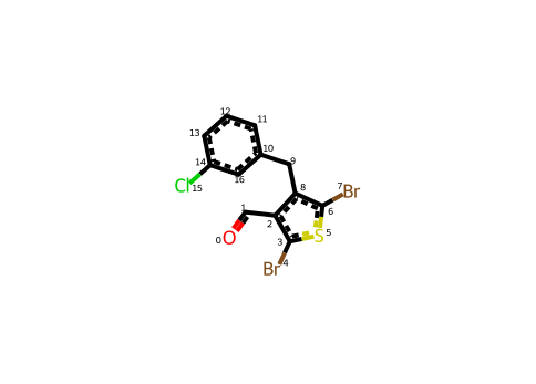 O=Cc1c(Br)sc(Br)c1Cc1cccc(Cl)c1